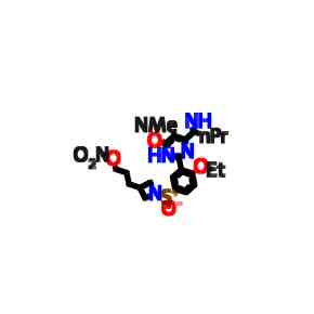 CCCC(=N)c1nc(-c2cc([S+]([O-])N3CC(CCCO[N+](=O)[O-])C3)ccc2OCC)[nH]c(=O)c1NC